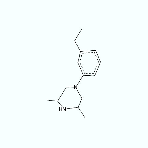 CCc1cccc(N2CC(C)NC(C)C2)c1